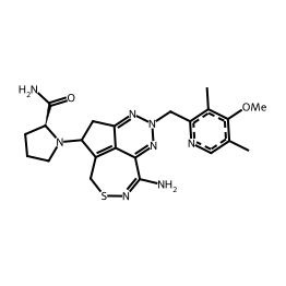 COc1c(C)cnc(CN2N=C3CC(N4CCC[C@H]4C(N)=O)C4=C3C(=N2)C(N)=NSC4)c1C